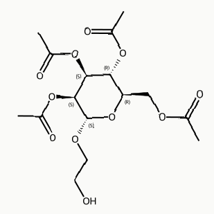 CC(=O)OC[C@H]1O[C@H](OCCO)[C@@H](OC(C)=O)[C@@H](OC(C)=O)[C@@H]1OC(C)=O